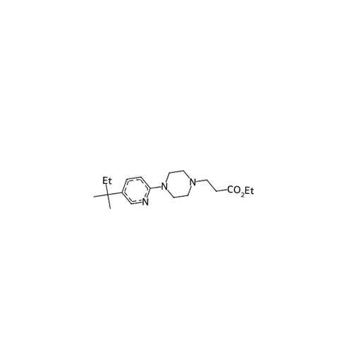 CCOC(=O)CCN1CCN(c2ccc(C(C)(C)CC)cn2)CC1